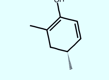 CC1=C(O)C=C[C@H](C)C1